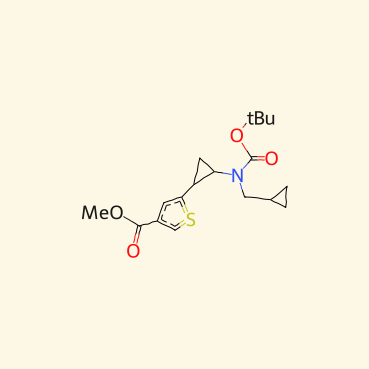 COC(=O)c1csc(C2CC2N(CC2CC2)C(=O)OC(C)(C)C)c1